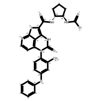 CCC(=O)N[C@@H]1CCC[C@H]1NC(=O)c1sc2nccc3c2c1NC(=O)N3c1ccc(Oc2ccccc2)cc1C